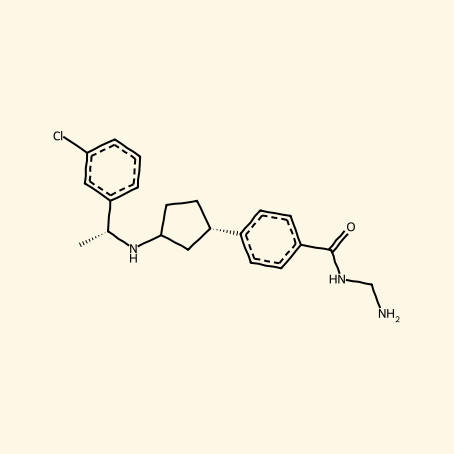 C[C@@H](NC1CC[C@H](c2ccc(C(=O)NCN)cc2)C1)c1cccc(Cl)c1